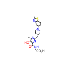 Cc1nc2cc(N3CCC(Cc4nc(C)c(O)c(C(=O)NCC(=O)O)n4)CC3)ccc2s1